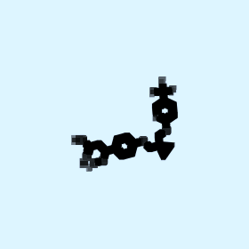 COC(CC(=O)O)c1ccc(OCC2(COc3ccc(C(F)(F)F)cn3)CC2)cc1